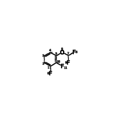 Fc1cc[c]c(OC(F)F)c1F